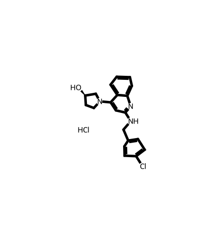 Cl.O[C@@H]1CCN(c2cc(NCc3ccc(Cl)cc3)nc3ccccc23)C1